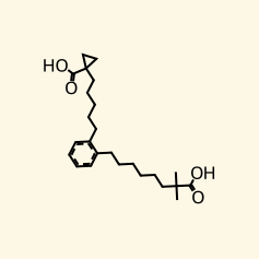 CC(C)(CCCCCCc1ccccc1CCCCCC1(C(=O)O)CC1)C(=O)O